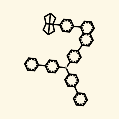 c1ccc(-c2ccc(N(c3ccc(-c4ccccc4)cc3)c3ccc(-c4ccc5cccc(-c6ccc(C78CC9CC7CC9C8)cc6)c5c4)cc3)cc2)cc1